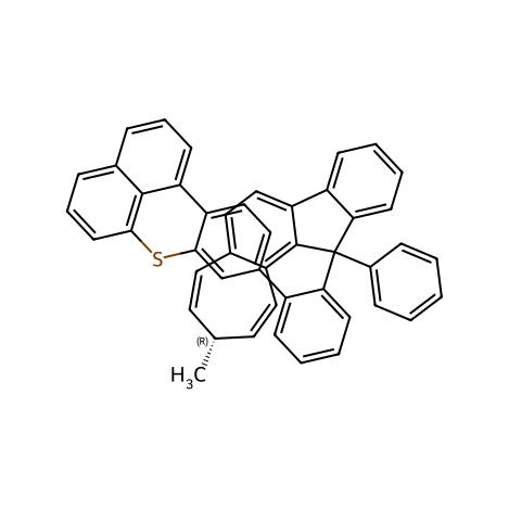 C[C@@H]1C=Cc2ccc3c(c2C=C1)C(c1ccccc1)(c1ccccc1-c1ccc2c(c1)Sc1cccc4cccc-2c14)c1ccccc1-3